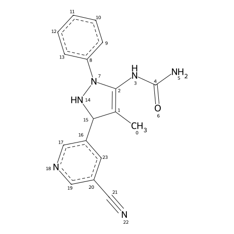 CC1=C(NC(N)=O)N(c2ccccc2)NC1c1cncc(C#N)c1